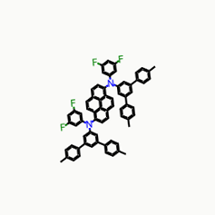 Cc1ccc(-c2cc(-c3ccc(C)cc3)cc(N(c3cc(F)cc(F)c3)c3ccc4ccc5c(N(c6cc(F)cc(F)c6)c6cc(-c7ccc(C)cc7)cc(-c7ccc(C)cc7)c6)ccc6ccc3c4c65)c2)cc1